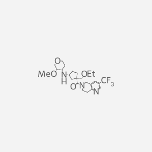 CCOCC1(C(=O)N2CCc3ncc(C(F)(F)F)cc3C2)CCC(NC2CCOCC2OC)C1